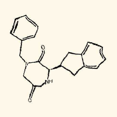 O=C1CN(Cc2ccccc2)C(=O)[C@@H](C2Cc3ccccc3C2)N1